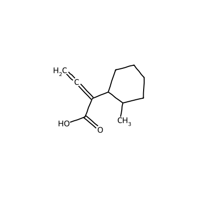 C=C=C(C(=O)O)C1CCCCC1C